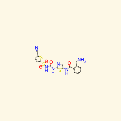 N#Cc1ccc(S(=O)(=O)NC(=O)Nc2ncc(NC(=O)c3ccccc3CN)s2)s1